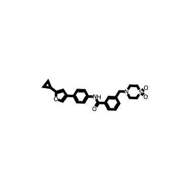 O=C(Nc1ccc(-c2coc(C3CC3)c2)cc1)c1cccc(CN2CCS(=O)(=O)CC2)c1